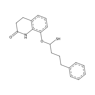 O=C1CCc2cccc(OC(S)CCCc3ccccc3)c2N1